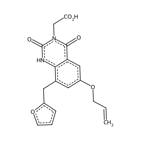 C=CCOc1cc(Cc2ccco2)c2[nH]c(=O)n(CC(=O)O)c(=O)c2c1